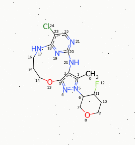 Cc1c2c(nn1C1COCCC1F)OCCCNc1nc(ncc1Cl)N2